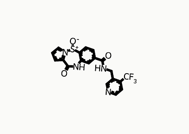 O=C(NCc1cnccc1C(F)(F)F)c1ccc2c(c1)NC(=O)c1cccn1[S+]2[O-]